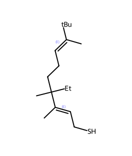 CCC(C)(CC/C=C(\C)C(C)(C)C)/C(C)=C/CS